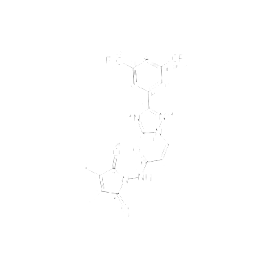 CC1=C(C)C(=O)N(NC(=O)/C=C\n2cnc(-c3cc(C(F)(F)F)cc(C(F)(F)F)c3)n2)C1=O